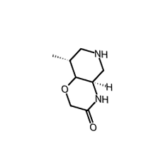 C[C@@H]1CNC[C@H]2NC(=O)COC12